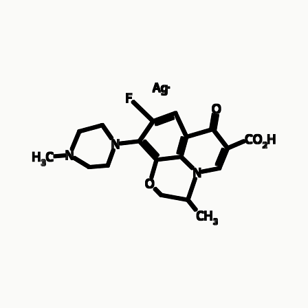 CC1COc2c(N3CCN(C)CC3)c(F)cc3c(=O)c(C(=O)O)cn1c23.[Ag]